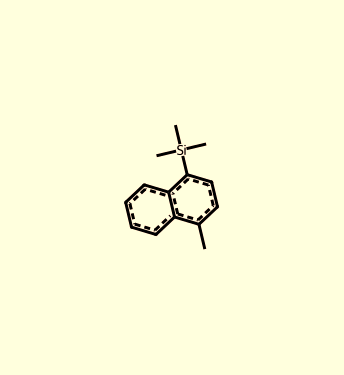 Cc1ccc([Si](C)(C)C)c2ccccc12